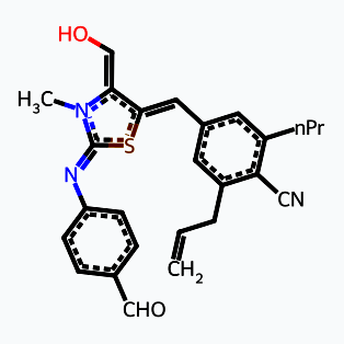 C=CCc1cc(/C=c2\s/c(=N\c3ccc(C=O)cc3)n(C)\c2=C/O)cc(CCC)c1C#N